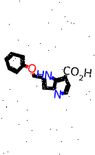 O=C(O)c1ccnc2cc(COc3ccccc3)[nH]c12